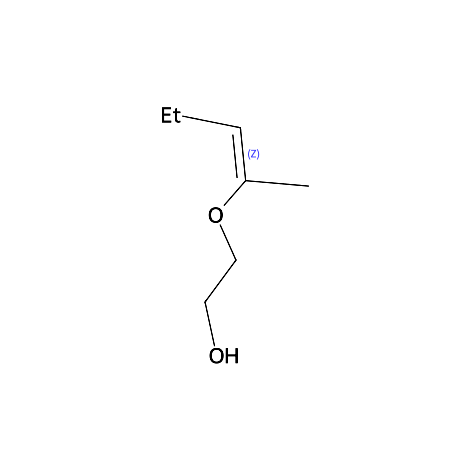 CC/C=C(/C)OCCO